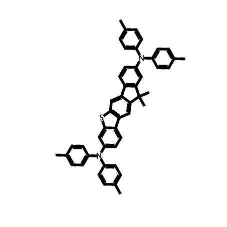 Cc1ccc(N(c2ccc(C)cc2)c2ccc3c(c2)C(C)(C)c2cc4c(cc2-3)sc2cc(N(c3ccc(C)cc3)c3ccc(C)cc3)ccc24)cc1